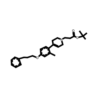 Cc1cc(OCCCc2ccccc2)ccc1C1=CCN(CCC(=O)OC(C)(C)C)CC1